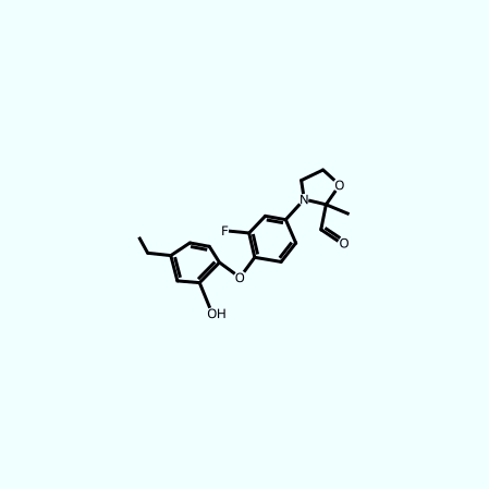 CCc1ccc(Oc2ccc(N3CCOC3(C)C=O)cc2F)c(O)c1